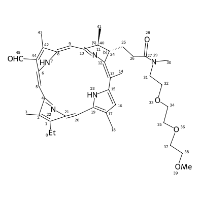 CCC1=C(C)c2cc3[nH]c(cc4nc(c(C)c5cc(C)c(cc1n2)[nH]5)[C@@H](CCC(=O)N(C)CCOCCOCCOC)[C@@H]4C)c(C)c3C=O